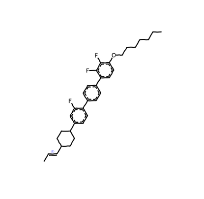 C/C=C/C1CCC(c2ccc(-c3ccc(-c4ccc(OCCCCCCC)c(F)c4F)cc3)c(F)c2)CC1